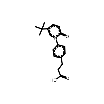 CC(C)(C)c1ccc(=O)n(-c2ccc(CCC(=O)O)cc2)c1